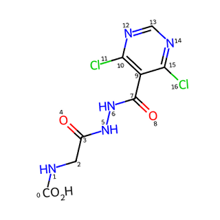 O=C(O)NCC(=O)NNC(=O)c1c(Cl)ncnc1Cl